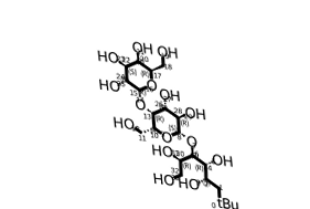 CC(C)(C)C[C@H](O)[C@@H](O)[C@H](O[C@@H]1O[C@H](CO)[C@H](O[C@H]2O[C@H](CO)[C@H](O)[C@H](O)[C@H]2O)[C@H](O)[C@H]1O)[C@H](O)CO